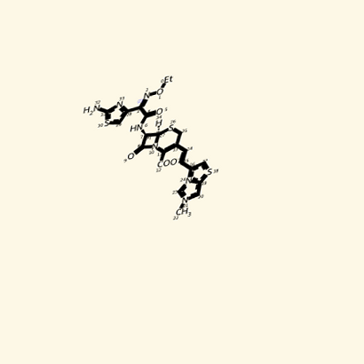 CCO/N=C(\C(=O)N[C@@H]1C(=O)N2C(C(=O)[O-])=C(C=Cc3csc4cn(C)c[n+]34)CS[C@H]12)c1csc(N)n1